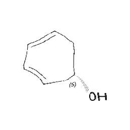 O[C@@H]1C=CC=CC1